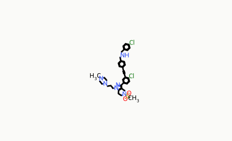 CN1CCN(CCCn2nc(-c3ccc(Cl)c(C#Cc4ccc(CNCc5ccc(Cl)cc5)cc4)c3)c3c2CCN(S(C)(=O)=O)C3)CC1